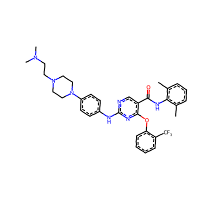 Cc1cccc(C)c1NC(=O)c1cnc(Nc2ccc(N3CCN(CCN(C)C)CC3)cc2)nc1Oc1ccccc1C(F)(F)F